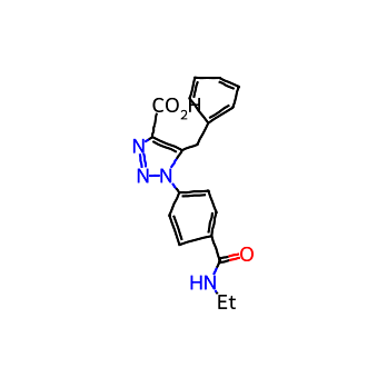 CCNC(=O)c1ccc(-n2nnc(C(=O)O)c2Cc2ccccc2)cc1